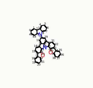 C1=CC2c3ccccc3N(c3cc4c5ccc6c7ccccc7oc6c5n5c4c(c3)c3ccc4c6ccccc6oc4c35)C2C=C1